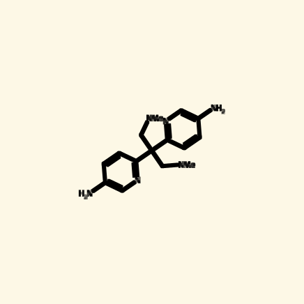 CNCC(CNC)(c1ccc(N)cn1)c1ccc(N)cn1